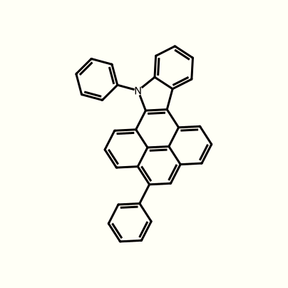 c1ccc(-c2cc3cccc4c3c3c2cccc3c2c4c3ccccc3n2-c2ccccc2)cc1